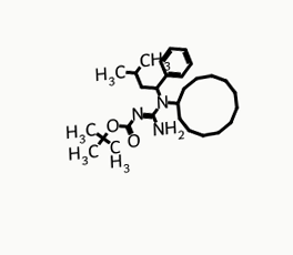 CC(C)CC(c1ccccc1)N(/C(N)=N/C(=O)OC(C)(C)C)C1CCCCCCCCCCC1